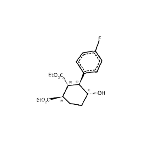 CCOC(=O)[C@@H]1[C@@H](c2ccc(F)cc2)[C@H](O)CC[C@H]1C(=O)OCC